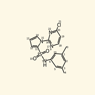 Cc1cc(C)cc(NS(=O)(=O)c2cccn2-c2nccc(Cl)n2)c1